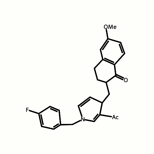 COc1ccc2c(c1)CCC(CC1C=CN(Cc3ccc(F)cc3)C=C1C(C)=O)C2=O